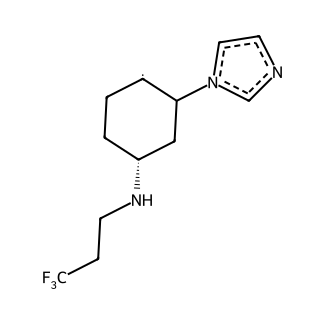 FC(F)(F)CCN[C@@H]1CC[CH]C(n2ccnc2)C1